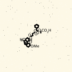 COc1ccc2c3c1O[C@H]1C(OC(=O)CCC(=O)O[C@H](C(=O)O[C@@H](C)C(=O)O)c4ccccc4)=CC[C@@]4(O)[C@H](CCC[C@]314)C2